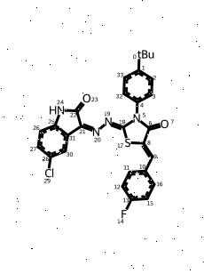 CC(C)(C)c1ccc(N2C(=O)C(=Cc3ccc(F)cc3)SC2=NN=C2C(=O)Nc3ccc(Cl)cc32)cc1